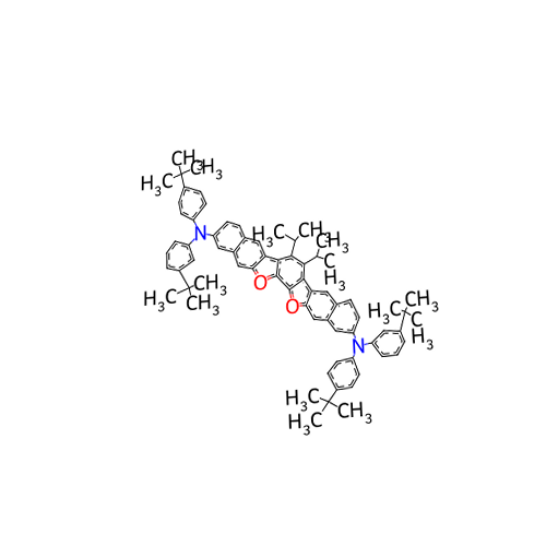 CC(C)c1c(C(C)C)c2c3cc4ccc(N(c5ccc(C(C)(C)C)cc5)c5cccc(C(C)(C)C)c5)cc4cc3oc2c2oc3cc4cc(N(c5ccc(C(C)(C)C)cc5)c5cccc(C(C)(C)C)c5)ccc4cc3c12